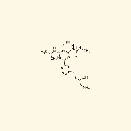 CNC(=O)Nc1cc(-c2cccc(OCC(O)CN)c2)nc(NC(C)C)c1C=N